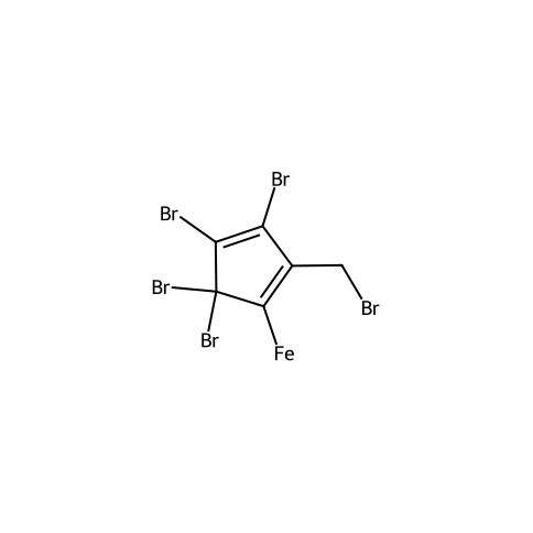 [Fe][C]1=C(CBr)C(Br)=C(Br)C1(Br)Br